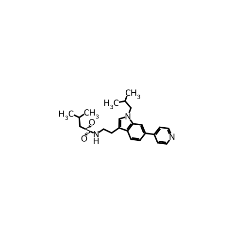 CC(C)Cn1cc(CCNS(=O)(=O)CC(C)C)c2ccc(-c3ccncc3)cc21